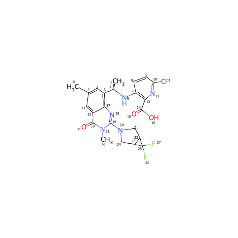 Cc1cc([C@@H](C)Nc2ccc(Cl)nc2C(=O)O)c2nc(N3CC4C(C3)C4(F)F)n(C)c(=O)c2c1